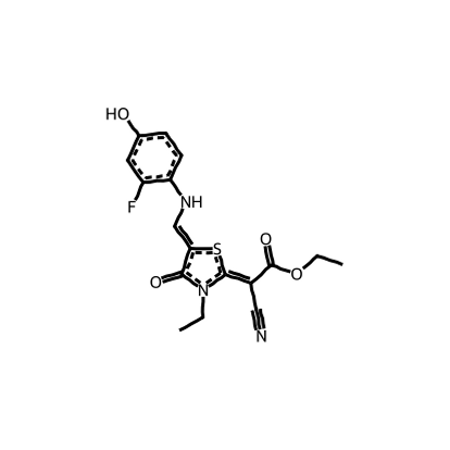 CCOC(=O)C(C#N)=c1sc(=CNc2ccc(O)cc2F)c(=O)n1CC